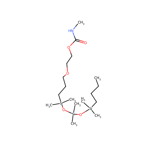 CCCC[Si](C)(C)O[Si](C)(C)O[Si](C)(C)CCCOCCOC(=O)NC